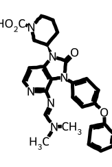 CN(C)C=Nc1nccc2c1n(-c1ccc(Oc3ccccc3)cc1)c(=O)n2[C@@H]1CCCN(C(=O)O)C1